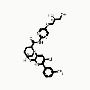 O=C(Nc1ncc(OC[C@@H](O)CO)cn1)C1CC[C@H]2CN1C1=CC(Cl)=C(c3cccc(C(F)(F)F)c3)NC1=N2